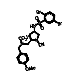 COc1ccc(CN(C[C@H]2C[C@@H](NS(=O)(=O)c3cc(Br)ccc3Br)CN2C#N)C(=O)O)cc1